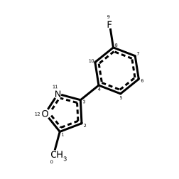 Cc1cc(-c2cccc(F)c2)no1